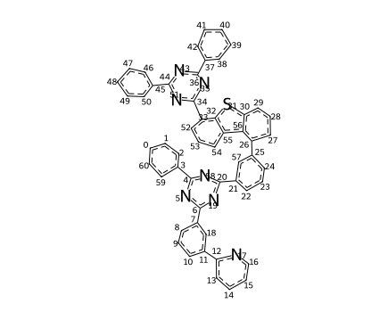 c1ccc(-c2nc(-c3cccc(-c4ccccn4)c3)nc(-c3cccc(-c4cccc5sc6c(-c7nc(-c8ccccc8)nc(-c8ccccc8)n7)cccc6c45)c3)n2)cc1